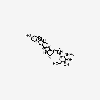 CC(=O)NC1C(O)[C@H](O)C(CO)O[C@H]1n1cc(CN2C[C@@H](C)C[C@H]3O[C@]4(CC[C@@H]5C(=C4C)C[C@H]4[C@H]5CC=C5C[C@@H](O)CC[C@@]54C)[C@H](C)[C@@H]32)nn1